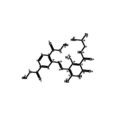 CCCCOC(=O)c1ccc(C(=O)OCCCC)c(/N=N/c2c(O)[nH]c(=O)c(C(=O)NCC(CC)CCCC)c2C)c1